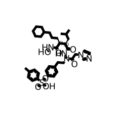 CC(C)C[C@@H](C(=O)NN(CCc1ccccc1)C(=O)Cn1ccnc1)[C@H](CCCC1CCCCC1)C(=O)NO.Cc1ccc(S(=O)(=O)O)cc1